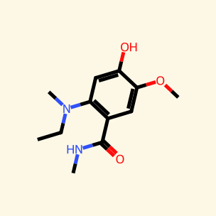 CCN(C)c1cc(O)c(OC)cc1C(=O)NC